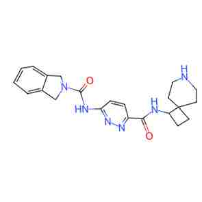 O=C(NC1CCC12CCNCC2)c1ccc(NC(=O)N2Cc3ccccc3C2)nn1